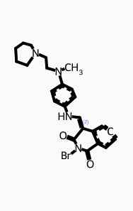 CN(CCN1CCCCC1)c1ccc(N/C=C2\C(=O)N(Br)C(=O)c3ccccc32)cc1